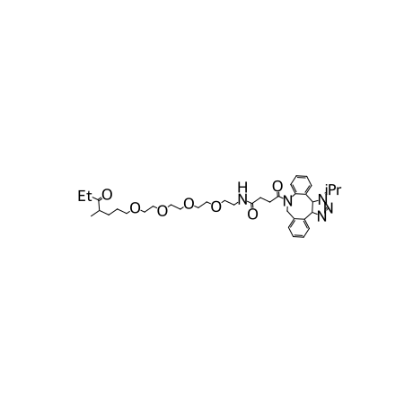 CCC(=O)C(C)CCCOCCOCCOCCOCCNC(=O)CCC(=O)N1Cc2ccccc2C2N=NN(C(C)C)C2c2ccccc21